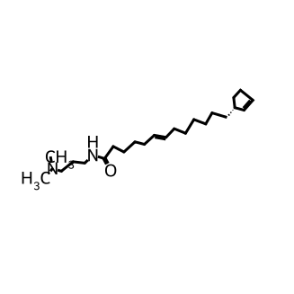 CN(C)CCCNC(=O)CCCC/C=C/CCCCCC[C@H]1C=CCC1